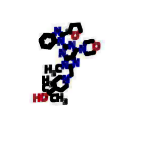 Cn1c(CN2CCC(C(C)(C)O)CC2)nc2c(N3CCOCC3)nc(-n3c([C@H]4CCCO4)nc4ccccc43)nc21